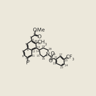 COC(=O)Cc1cc2ccc(F)cc2c(C2CCN(S(=O)(=O)c3cccc(C(F)(F)F)c3)CC2)c1C